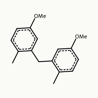 COc1ccc(C)c(Cc2cc(OC)ccc2C)c1